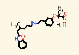 CC(CCCNCCc1cccc(OC(C)(C)C(=O)O)c1)Cc1nc2ccccc2o1